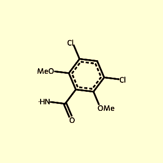 COc1c(Cl)cc(Cl)c(OC)c1C([NH])=O